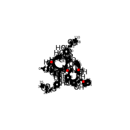 CC(C)C[C@H](C(=O)N[C@H]1C(=O)C[C@@H](CC(=O)NC(=O)Nc2ccc(OCCN(C)C(=O)OC(C)(C)C)cc2)C(=O)NC2C(=O)C[C@H]3C(=O)N[C@H](C(=O)N[C@H](C(=O)CC4C5CC6CC(C5)CC4C6)c4cc(O)cc(O)c4-c4cc3ccc4O)[C@H](O)c3ccc(c(Cl)c3)Oc3cc2cc(c3O[C@@H]2O[C@H](CCC(=O)OC(C)(C)C)[C@@H](O)[C@H](O)[C@H]2O)Oc2ccc(cc2Cl)[C@H]1O)N(C)C(=O)OC(C)(C)C